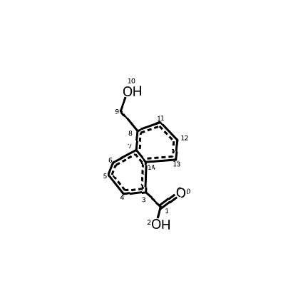 O=C(O)c1cccc2c(CO)cccc12